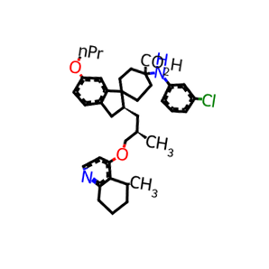 CCCOc1ccc2c(c1)C1(CCC(Nc3cccc(Cl)c3)(C(=O)O)CC1)[C@@H](C[C@@H](C)COc1ccnc3c1[C@H](C)CCC3)C2